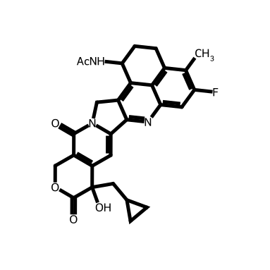 CC(=O)NC1CCc2c(C)c(F)cc3nc4c(c1c23)Cn1c-4cc2c(c1=O)COC(=O)C2(O)CC1CC1